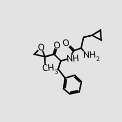 CC1(C(=O)C(Cc2ccccc2)NC(=O)C(N)CC2CC2)CO1